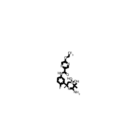 CC1(C)C(N)=N[C@](C)(c2cc(NC(=O)c3cnc(OCC(F)(F)F)cn3)ccc2F)CS1(O)O